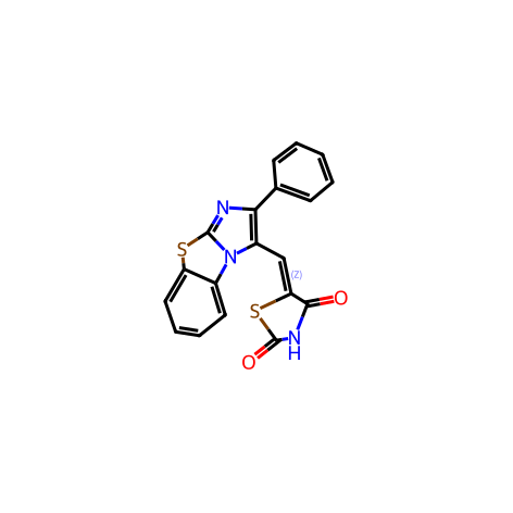 O=C1NC(=O)/C(=C/c2c(-c3ccccc3)nc3sc4ccccc4n23)S1